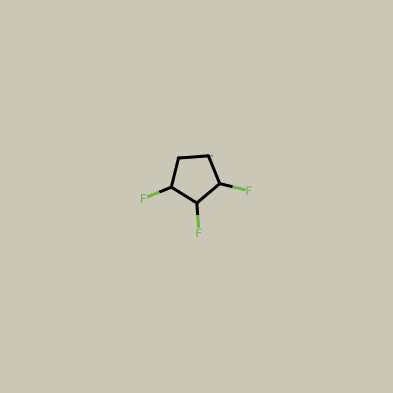 FC1[CH]CC(F)C1F